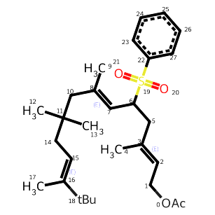 CC(=O)OC/C=C(\C)CC(/C=C(\C)CC(C)(C)C/C=C(\C)C(C)(C)C)S(=O)(=O)c1ccccc1